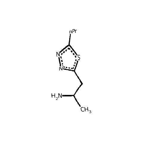 CCCc1nnc(CC(C)N)s1